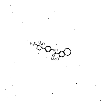 COc1cc2c(cc1C(=O)Nc1ccc(N3CCC(C)S3(=O)=O)cc1)CCCCC2